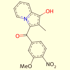 COc1cc(C(=O)c2c(C)c(O)c3ccccn23)ccc1[N+](=O)[O-]